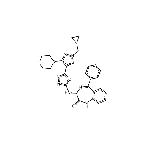 O=C1Nc2ccccc2C(c2ccccc2)=N[C@@H]1Nc1nnc(-c2cn(CC3CC3)nc2N2CCOCC2)o1